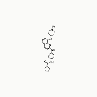 CC(C)N1CCC(Oc2cccc3cnc(Nc4ccc(NC(=O)N5CCCC5)cc4)nc23)CC1